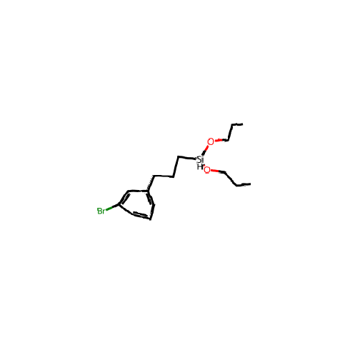 CCCO[SiH](CCCc1cccc(Br)c1)OCCC